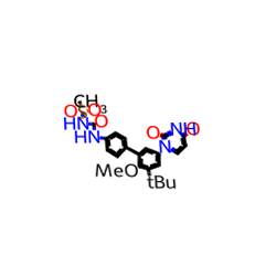 COc1c(-c2ccc(NC(=O)NS(C)(=O)=O)cc2)cc(-n2ccc(=O)[nH]c2=O)cc1C(C)(C)C